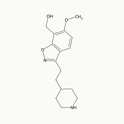 COc1ccc2c(CCC3CCNCC3)noc2c1CO